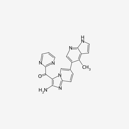 Cc1c(-c2ccc3nc(N)c(C(=O)c4ncccn4)n3c2)cnc2[nH]ccc12